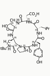 CC(C)C[C@@H]1NC(=O)[C@@H](Cc2ccc(O)cc2)NC(=O)[C@@H]2CCCN2[C@H](C(=O)NC(C)(C)C)[C@@H](C)NC(=O)[C@H]([C@@H](C)O)NC(=O)[C@H](CC(=O)O)NC1=O